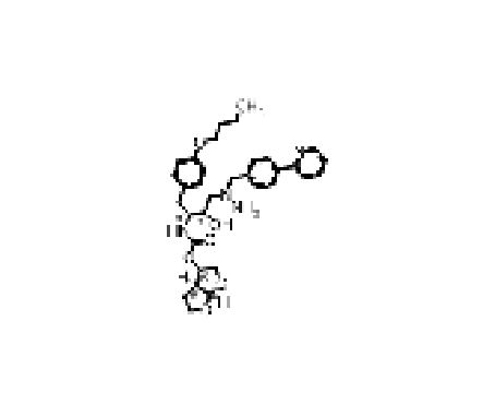 CCCCOc1ccc(C[C@H](NC(=O)O[C@H]2CO[C@H]3OCC[C@H]32)[C@@H](O)CN(N)Cc2ccc(-c3ccccn3)cc2)cc1